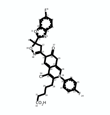 CC1(c2nc3ccc(F)cc3o2)CC(C2C=C3C(=CN(c4ccc(F)cc4)C(CCCCC(=O)O)=C3Cl)CC2=O)=NO1